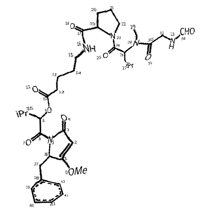 COC1=CC(=O)N(C(=O)C(OC(=O)CCCCNC(=O)C2CCCN2C(=O)C(C(C)C)N(C)C(=O)CNC=O)C(C)C)C1Cc1ccccc1